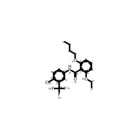 CCCCOc1cccc(OCC)c1C(=O)Nc1ccc(Cl)c(C(F)(F)F)c1